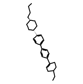 CCCC[C@H]1CC[C@H](c2ccc(-c3ccc(C4=CCC(CC)CC4)cc3)cc2)CC1